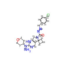 NN(C1CCOCC1)C1N=CC2=C(CN(C(=O)N=NCc3ccc(Cl)cc3)C23CCC3)N1